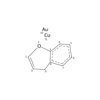 C1=COc2ccccc2C1.[Au].[Cu]